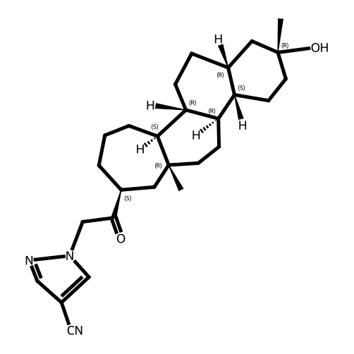 C[C@@]1(O)CC[C@H]2[C@H](CC[C@@H]3[C@@H]2CC[C@]2(C)C[C@@H](C(=O)Cn4cc(C#N)cn4)CCC[C@@H]32)C1